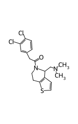 CN(C)CC1c2ccsc2CCN1C(=O)Cc1ccc(Cl)c(Cl)c1